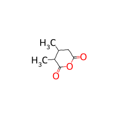 CC1CC(=O)OC(=O)C1C